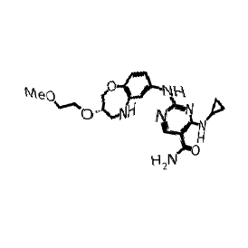 COCCO[C@H]1CNc2cc(Nc3ncc(C(N)=O)c(NC4CC4)n3)ccc2OC1